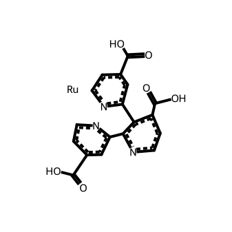 O=C(O)c1ccnc(-c2nccc(C(=O)O)c2-c2cc(C(=O)O)ccn2)c1.[Ru]